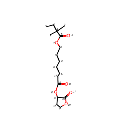 CCC(C)(C)C(=O)OCCCCCCC(=O)OC1CCOC1=O